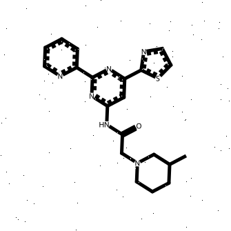 CC1CCCN(CC(=O)Nc2cc(-c3nccs3)nc(-c3ccccn3)n2)C1